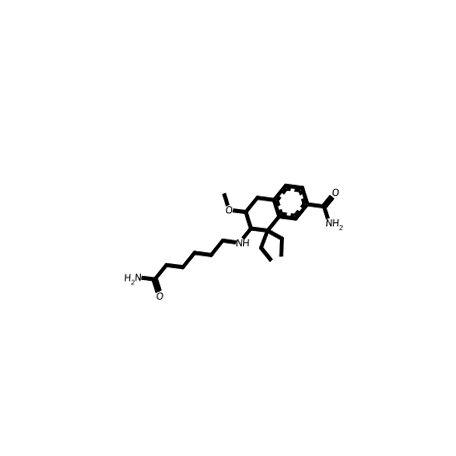 CCC1(CC)c2cc(C(N)=O)ccc2CC(OC)C1NCCCCCC(N)=O